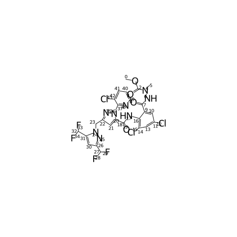 COC(=O)N(C)NC(=O)c1cc(Cl)cc(Cl)c1NC(=O)c1cc(Cn2nc(C(F)F)cc2C(F)F)nn1-c1ncccc1Cl